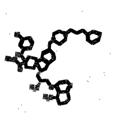 COC(=O)C1(Nc2cccc(Cl)c2)CCC2(CC1)c1cc(CN3CCN(CCCc4ccccc4)CC3)ccc1C[C@@H]2C[C@@H](C)COc1ccnc2c1[C@H](C)CCC2